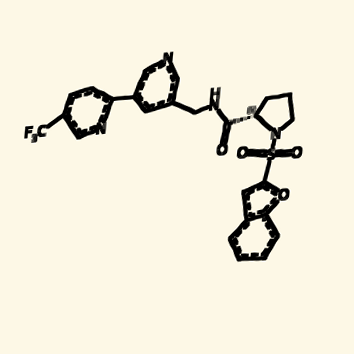 O=C(NCc1cncc(-c2ccc(C(F)(F)F)cn2)c1)[C@@H]1CCCN1S(=O)(=O)c1cc2ccccc2o1